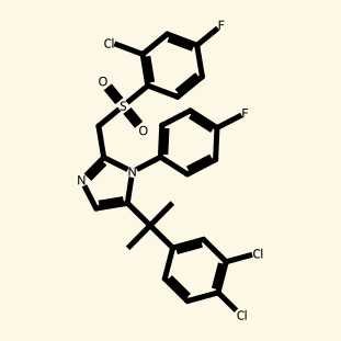 CC(C)(c1ccc(Cl)c(Cl)c1)c1cnc(CS(=O)(=O)c2ccc(F)cc2Cl)n1-c1ccc(F)cc1